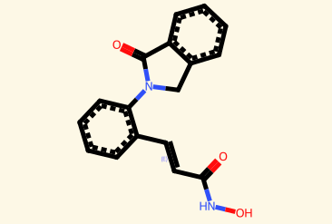 O=C(/C=C/c1ccccc1N1Cc2ccccc2C1=O)NO